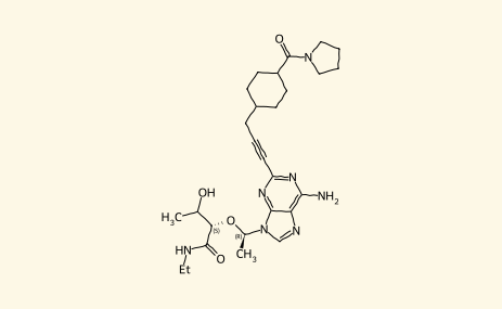 CCNC(=O)[C@@H](O[C@H](C)n1cnc2c(N)nc(C#CCC3CCC(C(=O)N4CCCC4)CC3)nc21)C(C)O